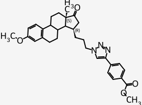 COC(=O)c1ccc(-c2cn(CCC[C@@H]3CC(=O)[C@@]4(C)CCC5c6ccc(OC)cc6CCC5C34)nn2)cc1